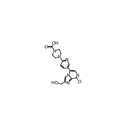 O=C(O)N1CCN(c2ccc(-c3cnc(Cl)c4nc(CO)cn34)cn2)CC1